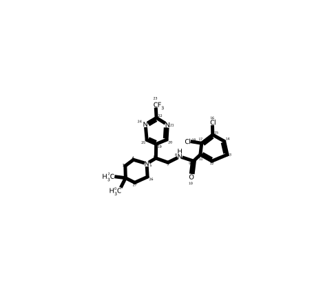 CC1(C)CCN(C(CNC(=O)c2cccc(Cl)c2Cl)c2cnc(C(F)(F)F)nc2)CC1